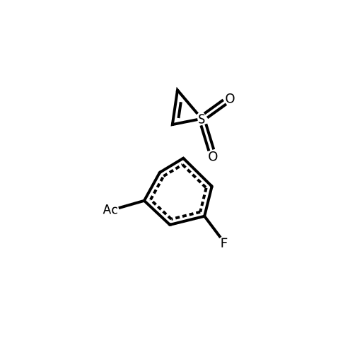 CC(=O)c1cccc(F)c1.O=S1(=O)C=C1